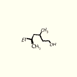 C=C(CC)CC(C)CCO